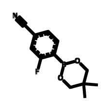 CC1(C)COB(c2ccc(C#N)cc2F)OC1